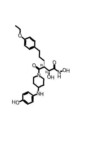 CCOc1ccc(CCC[C@@H](C(=O)N2CCC(Nc3ccc(O)cc3)CC2)[C@H](O)C(=O)NO)cc1